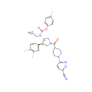 CCN(C(=O)Oc1ccc(F)cc1)[C@@H]1CN(C(=O)C2CCN(c3ccc(C#N)nn3)CC2)C[C@H]1c1ccc(F)c(F)c1